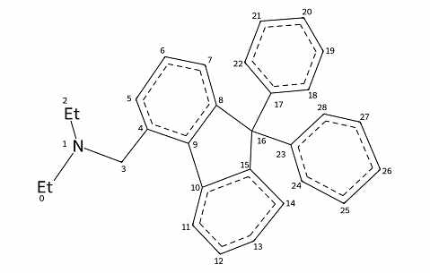 CCN(CC)Cc1cccc2c1-c1ccccc1C2(c1ccccc1)c1ccccc1